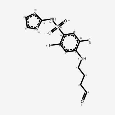 O=CCCCNc1cc(F)c(S(=O)(=O)Nc2nccs2)cc1Cl